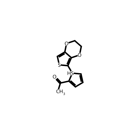 CC(=O)C1=CC=C[SH]1c1scc2c1OCCO2